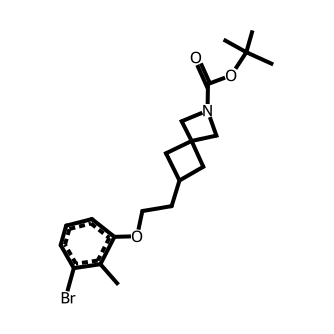 Cc1c(Br)cccc1OCCC1CC2(C1)CN(C(=O)OC(C)(C)C)C2